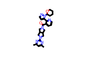 Cc1cc(C)nc(N2CC3CN(C(=O)c4cccnc4-c4ccnn4C4CCCCO4)CC3C2)n1